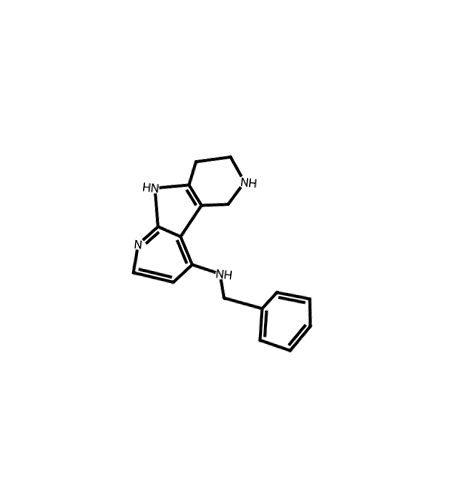 c1ccc(CNc2ccnc3[nH]c4c(c23)CNCC4)cc1